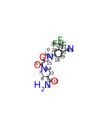 C[C@H]1O[C@H](C(=O)N2CCC(C(N)=O)CC2)CN1c1ccc(C#N)c(C(F)(F)F)c1